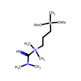 CO[Si](C)(CCC[N+](C)(C)C(=N)N(C)C)OC